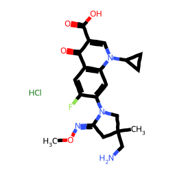 CON=C1CC(C)(CN)CN1c1cc2c(cc1F)c(=O)c(C(=O)O)cn2C1CC1.Cl